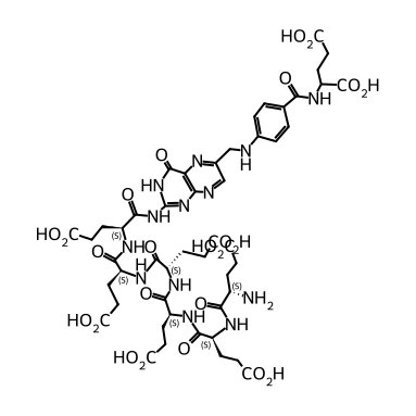 N[C@@H](CCC(=O)O)C(=O)N[C@@H](CCC(=O)O)C(=O)N[C@@H](CCC(=O)O)C(=O)N[C@@H](CCC(=O)O)C(=O)N[C@@H](CCC(=O)O)C(=O)N[C@@H](CCC(=O)O)C(=O)Nc1nc2ncc(CNc3ccc(C(=O)NC(CCC(=O)O)C(=O)O)cc3)nc2c(=O)[nH]1